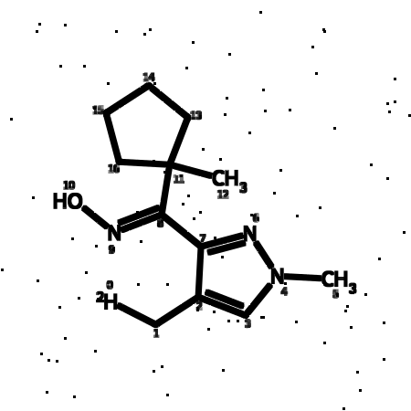 [2H]Cc1cn(C)nc1C(=NO)C1(C)CCCC1